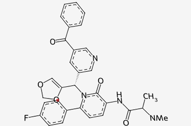 CNC(C)C(=O)Nc1ccc(-c2ccc(F)cc2)n([C@H](C2=COCO2)c2cncc(C(=O)c3ccccc3)c2)c1=O